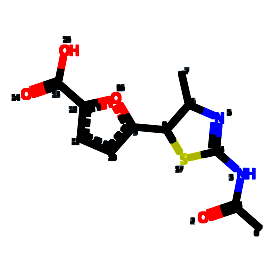 CC(=O)NC1=NC(C)C(c2ccc(C(=O)O)o2)S1